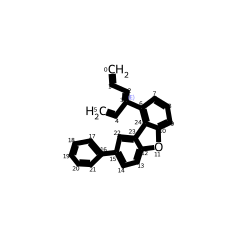 C=C/C=C(\C=C)c1cccc2oc3ccc(-c4ccccc4)cc3c12